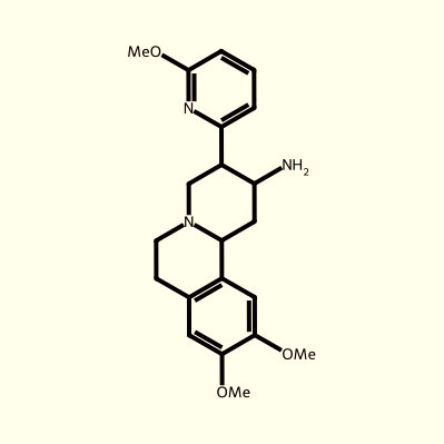 COc1cccc(C2CN3CCc4cc(OC)c(OC)cc4C3CC2N)n1